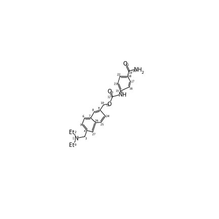 CCN(CC)Cc1ccc2cc(COC(=O)Nc3ccc(C(N)=O)cc3)ccc2c1